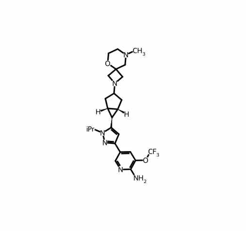 CC(C)n1nc(-c2cnc(N)c(OC(F)(F)F)c2)cc1[C@H]1[C@@H]2CC(N3CC4(CN(C)CCO4)C3)C[C@@H]21